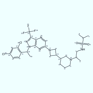 CC(CNS(=O)(=O)C(C)C)N1CCCC(C2CN(c3cnc4c(C(F)(F)F)nn(C(C)c5ccc(Cl)cc5Cl)c4n3)C2)C1